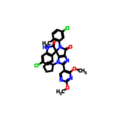 COc1ncc(-c2nc3c(n2C2CCCC2)C2(C(=O)Nc4cc(Cl)ccc42)N(c2cc(Cl)ccc2C)C3=O)c(OC)n1